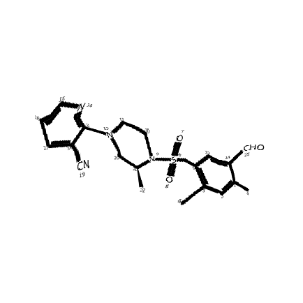 Cc1cc(C)c(S(=O)(=O)N2CCN(c3ncccc3C#N)C[C@@H]2C)cc1C=O